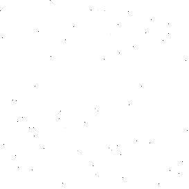 CCCc1nc(N)nc2ccc(-c3ccc(C(=O)OC(C)(C)C)cc3)nc12